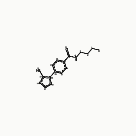 CCCCNC(=O)c1ccc(-n2ccnc2S)cc1